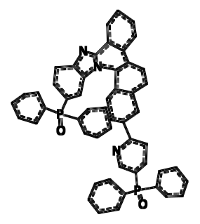 O=P(c1ccccc1)(c1ccccc1)c1ccc(-c2ccc3c(ccc4c5ccccc5c5nc6ccc(P(=O)(c7ccccc7)c7ccccc7)cc6n5c34)c2)nc1